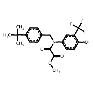 COC(=O)C(=O)N(Cc1ccc(C(C)(C)C)cc1)c1ccc(Br)c(C(F)(F)F)c1